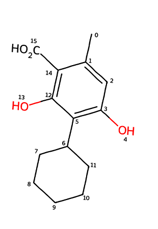 Cc1cc(O)c(C2CCCCC2)c(O)c1C(=O)O